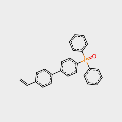 C=Cc1ccc(-c2ccc(P(=O)(c3ccccc3)c3ccccc3)cc2)cc1